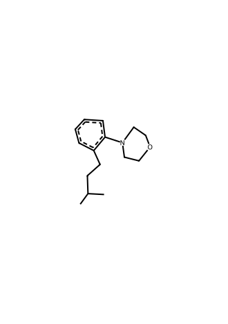 CC(C)CCc1ccccc1N1CCOCC1